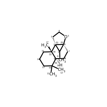 CC1[C@]23CCO[C@@]12CC[C@H]1C(C)(C)CCC[C@@]13C